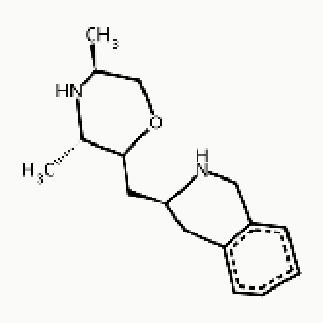 C[C@@H]1N[C@@H](C)COC1C[C@@H]1Cc2ccccc2CN1